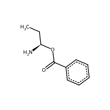 CC[C@H](N)OC(=O)c1ccccc1